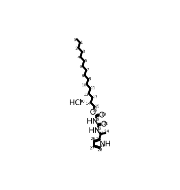 CCCCCCCCCCCCCCCCOC(=O)NC(=O)NC(C)c1ccc[nH]1.Cl